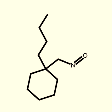 CCCCC1(CN=O)CCCCC1